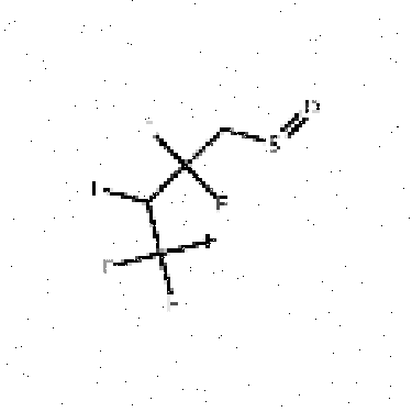 O=[S+]CC(F)(F)C(F)C(F)(F)F